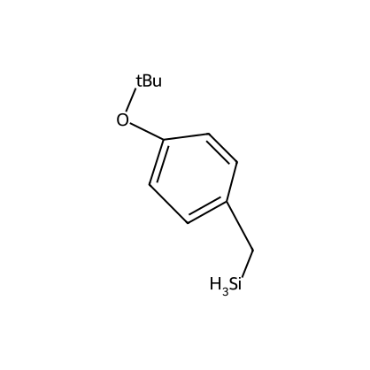 CC(C)(C)Oc1ccc(C[SiH3])cc1